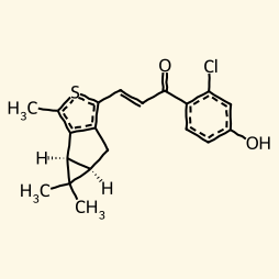 Cc1sc(C=CC(=O)c2ccc(O)cc2Cl)c2c1[C@H]1[C@@H](C2)C1(C)C